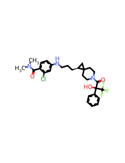 CN(C)C(=O)c1ccc(NCCC[C@H]2CC23CCN(C(=O)C(O)(c2ccccc2)C(F)(F)F)CC3)cc1Cl